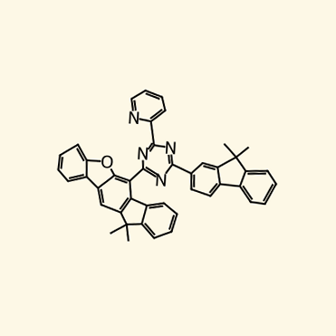 CC1(C)c2ccccc2-c2ccc(-c3nc(-c4ccccn4)nc(-c4c5c(cc6c4oc4ccccc46)C(C)(C)c4ccccc4-5)n3)cc21